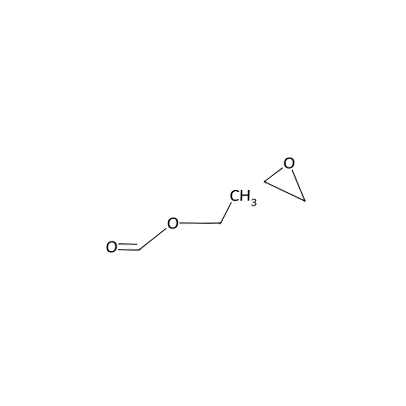 C1CO1.CCOC=O